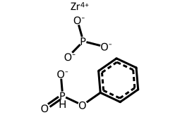 O=[PH]([O-])Oc1ccccc1.[O-]P([O-])[O-].[Zr+4]